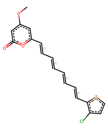 COc1cc(/C=C/C=C/C=C/C=C/c2sccc2Cl)oc(=O)c1